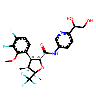 COc1c([C@H]2[C@H](C(=O)Nc3ccc(C(O)CO)nc3)O[C@@](C)(C(F)(F)F)[C@H]2C)ccc(F)c1F